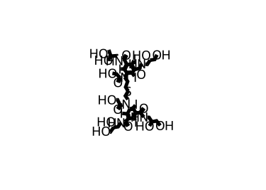 O=C(NCC(O)CO)c1c(I)c(C(=O)NCC(O)CO)c(I)c(N(CCSCCN(C(=O)CO)c2c(I)c(C(=O)NCC(O)CO)c(I)c(C(=O)NCC(O)CO)c2I)C(=O)CO)c1I